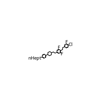 CCCCCCCc1ccc(C2CCC(CCc3cc(F)c(CCc4ccc(Cl)c(F)c4)c(F)c3)CC2)cc1